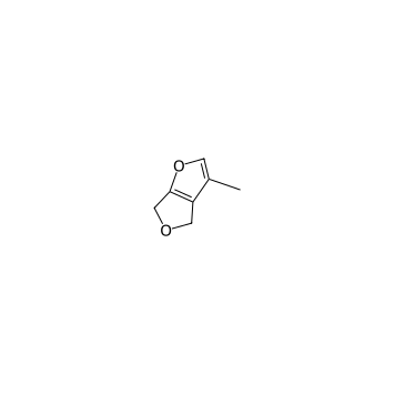 Cc1coc2c1COC2